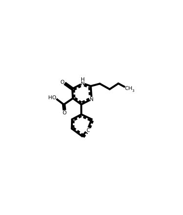 CCCCc1nc(-c2ccccc2)c(C(=O)O)c(=O)[nH]1